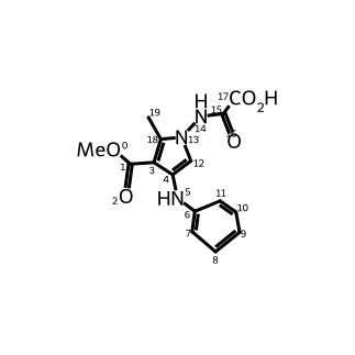 COC(=O)c1c(Nc2ccccc2)cn(NC(=O)C(=O)O)c1C